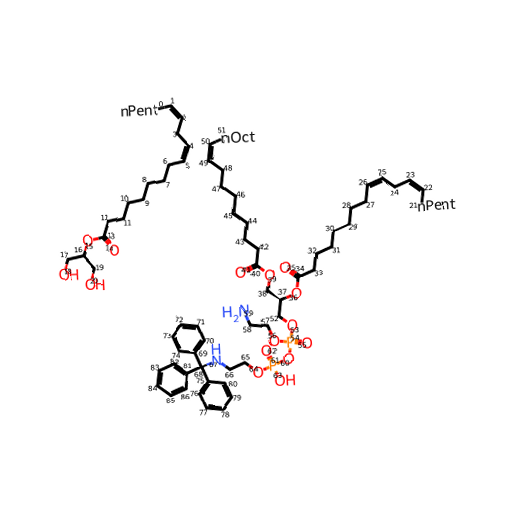 CCCCC/C=C\C/C=C\CCCCCCCC(=O)OC(CO)CO.CCCCC/C=C\C/C=C\CCCCCCCC(=O)O[C@H](COC(=O)CCCCCCC/C=C\CCCCCCCC)COP(=O)(OCCN)OP(=O)(O)OCCNC(c1ccccc1)(c1ccccc1)c1ccccc1